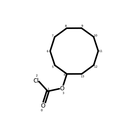 O=C(Cl)OC1CCCCCCCCC1